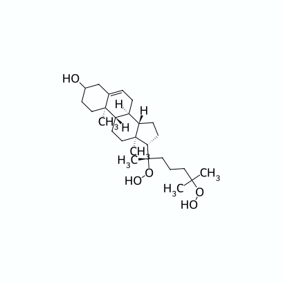 CC(C)(CCC[C@](C)(OO)[C@H]1CC[C@H]2[C@@H]3CC=C4CC(O)CC[C@]4(C)[C@H]3CC[C@@]21C)OO